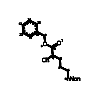 CCCCCCCCCCCCC(Cl)C(=O)OCc1ccccc1